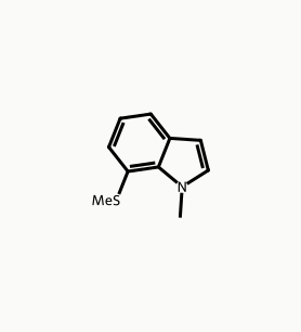 CSc1cccc2ccn(C)c12